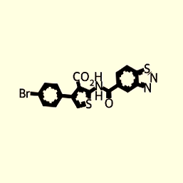 O=C(Nc1scc(-c2ccc(Br)cc2)c1C(=O)O)c1ccc2snnc2c1